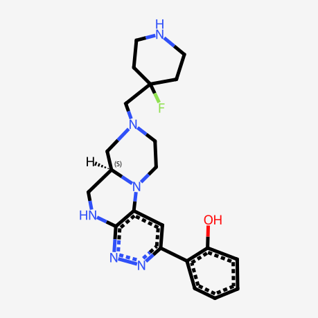 Oc1ccccc1-c1cc2c(nn1)NC[C@H]1CN(CC3(F)CCNCC3)CCN21